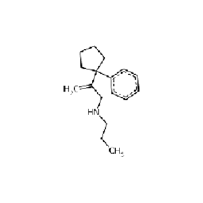 C=C(CNCCC)C1(c2ccccc2)CCCC1